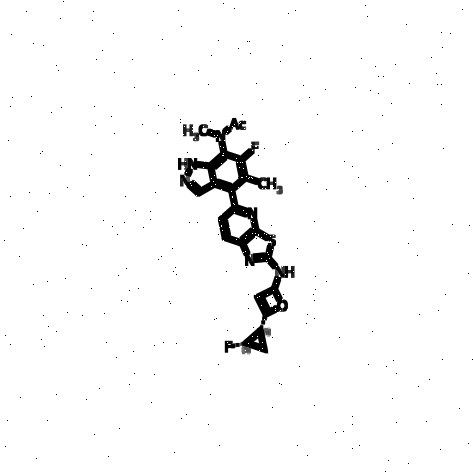 CC(=O)N(C)c1c(F)c(C)c(-c2ccc3nc(NC4C=C([C@@H]5C[C@@H]5F)O4)sc3n2)c2cn[nH]c12